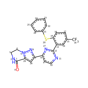 O=C1NCCn2nc(-c3ccnc(-c4cc(C(F)(F)F)ccc4Sc4ccccc4)n3)cc21